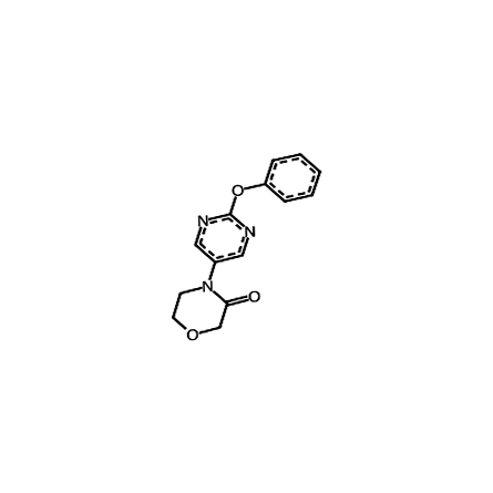 O=C1COCCN1c1cnc(Oc2ccccc2)nc1